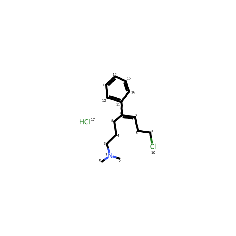 CN(C)CCCC(=CCCCl)c1ccccc1.Cl